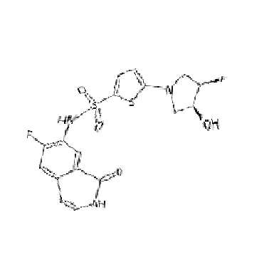 O=c1[nH]ccc2cc(F)c(NS(=O)(=O)c3ccc(N4C[C@@H](F)[C@@H](O)C4)s3)cc12